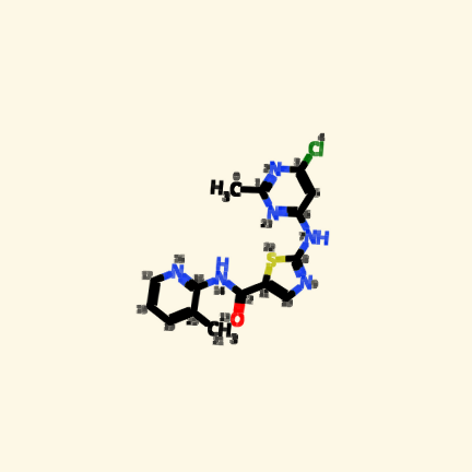 Cc1nc(Cl)cc(Nc2ncc(C(=O)Nc3ncccc3C)s2)n1